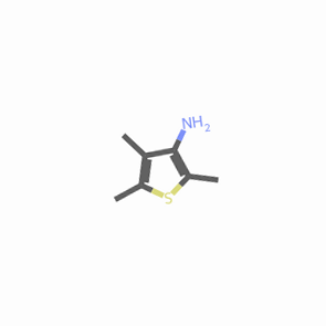 Cc1sc(C)c(N)c1C